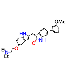 CCN(CC)CCOc1ccc2[nH]c(C=C3C(=O)Nc4cc(-c5cccc(OC)c5)ccc43)cc2c1